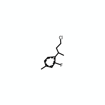 Cc1ccc(C(C)CCCl)c(F)c1